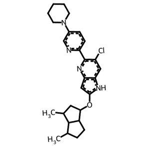 CC1CCC2C(Oc3cc4nc(-c5ccc(N6CCCCC6)cn5)c(Cl)cc4[nH]3)CC(C)C12